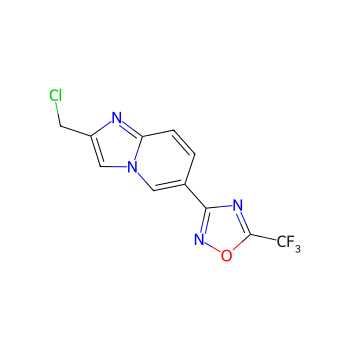 FC(F)(F)c1nc(-c2ccc3nc(CCl)cn3c2)no1